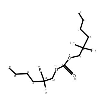 CCCCC(F)(F)COC(=O)OCC(F)(F)CCCC